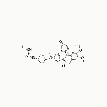 CCNC(=O)CNC1CCC(CN(C)c2ccc(N3C(=O)Cc4cc(OC)c(OC(C)C)cc4[C@@H]3c3ccc(Cl)cc3)nc2)CC1